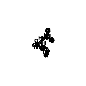 CN(Cc1ccc(Nc2c(NCCNc3cc(N4CCCC4)nc(N4CCCC4)n3)c(=O)c2=O)cc1)C(=O)OC(C)(C)C